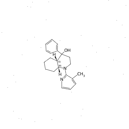 Cc1cccnc1N1CCC(O)(c2ccccc2)[C@H]2CCCC[C@H]21